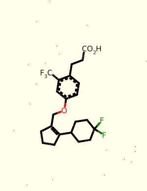 O=C(O)CCc1ccc(OCC2=C(C3CCC(F)(F)CC3)CCC2)cc1C(F)(F)F